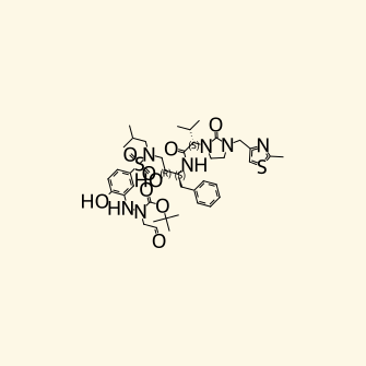 Cc1nc(CN2CCN([C@H](C(=O)N[C@@H](Cc3ccccc3)[C@H](O)CN(CC(C)C)S(=O)(=O)c3ccc(O)c(NN(CC=O)C(=O)OC(C)(C)C)c3)C(C)C)C2=O)cs1